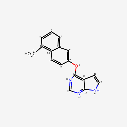 O=C(O)c1cccc2cc(Oc3ncnc4[nH]ccc34)ccc12